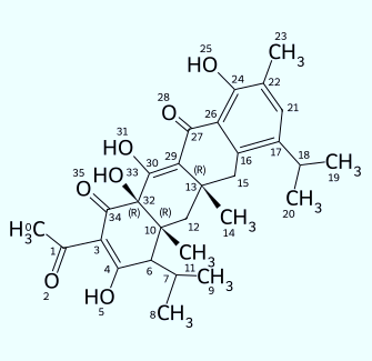 CC(=O)C1=C(O)C(C(C)C)[C@@]2(C)C[C@@]3(C)Cc4c(C(C)C)cc(C)c(O)c4C(=O)C3=C(O)[C@@]2(O)C1=O